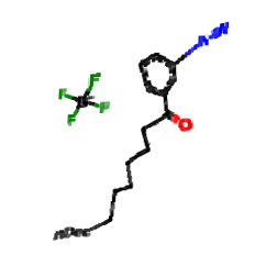 CCCCCCCCCCCCCCCCC(=O)c1cccc([N+]#N)c1.F[B-](F)(F)F